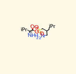 CC(C)CC(CN)CS(=O)(=O)OC(=O)[C@@H](N)C(C)C